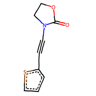 O=C1OCCN1C#Cc1cccs1